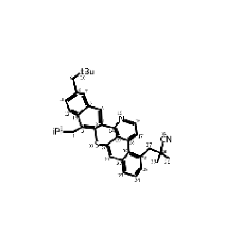 CC(C)Cc1c2c(cc3cc(CC(C)(C)C)ccc13)-c1nccc3c1c(cc1cccc(CC(C)(C)C#N)c13)S2